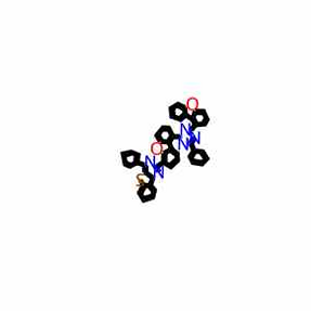 c1ccc(-c2nc(-c3cccc4oc5ccccc5c34)nc(-c3cccc4oc5c(-c6nc(-c7ccccc7)c7sc8ccccc8c7n6)cccc5c34)n2)cc1